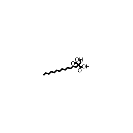 CCCCCCCCCCCCCC(CC)(C(=O)O)C(=O)O